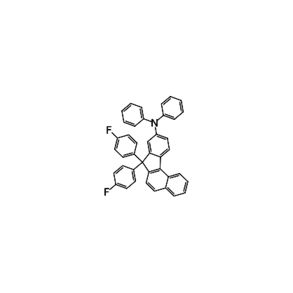 Fc1ccc(C2(c3ccc(F)cc3)c3cc(N(c4ccccc4)c4ccccc4)ccc3-c3c2ccc2ccccc32)cc1